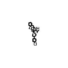 COc1ccccc1CC(=O)N[C@@H](C(=O)N1CCC(c2ccc(Cl)cc2)CC1)C(C)C